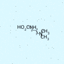 CN(C)C=CCNC(=O)O